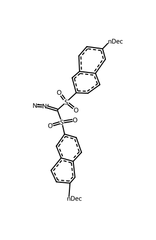 CCCCCCCCCCc1ccc2cc(S(=O)(=O)C(=[N+]=[N-])S(=O)(=O)c3ccc4cc(CCCCCCCCCC)ccc4c3)ccc2c1